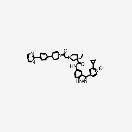 CC[C@@]1(C(=O)Nc2ccc3[nH]nc(-c4cc[n+]([O-])c(C5CC5)c4)c3c2)CCN(CC(=O)N2C=CC(c3ccc(-c4ncccn4)cc3)CC2)C1